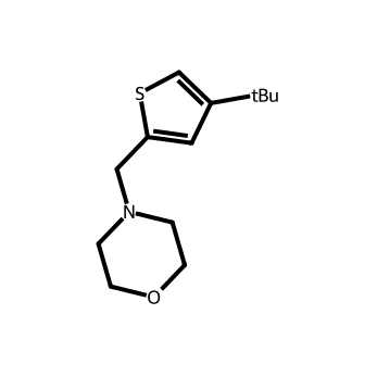 CC(C)(C)c1csc(CN2CCOCC2)c1